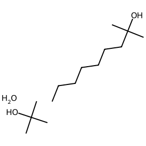 CC(C)(C)O.CCCCCCCC(C)(C)O.O